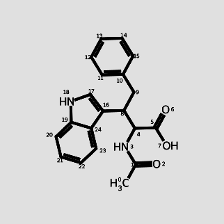 CC(=O)NC(C(=O)O)C(Cc1ccccc1)c1c[nH]c2ccccc12